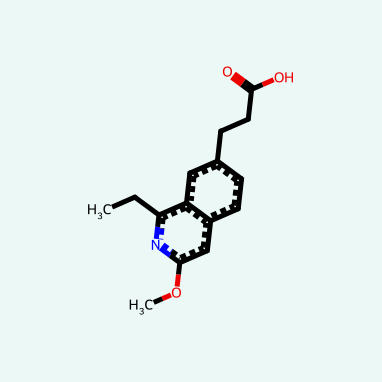 CCc1nc(OC)cc2ccc(CCC(=O)O)cc12